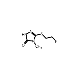 Cn1c(SCCF)n[nH]c1=O